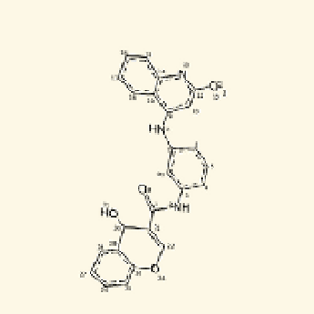 O=C(Nc1cccc(Nc2cc(C(F)(F)F)nc3ccccc23)c1)C1=COc2ccccc2C1O